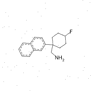 NCC1(c2ccc3ccccc3c2)CCC(F)CC1